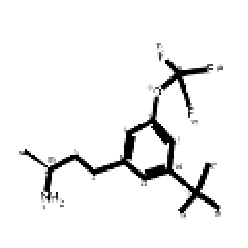 C[C@H](N)CCc1cc(OC(F)(F)F)cc(C(C)(C)C)c1